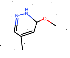 COC1C=C(C)C=NN1